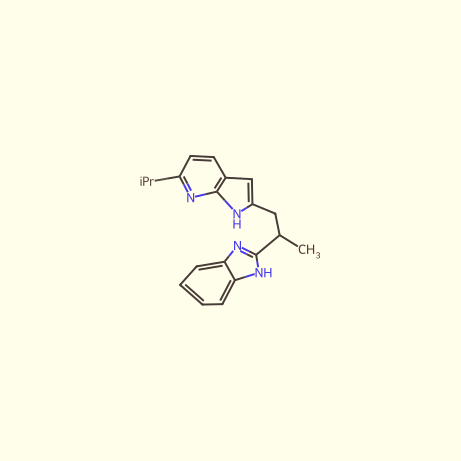 CC(C)c1ccc2cc(CC(C)c3nc4ccccc4[nH]3)[nH]c2n1